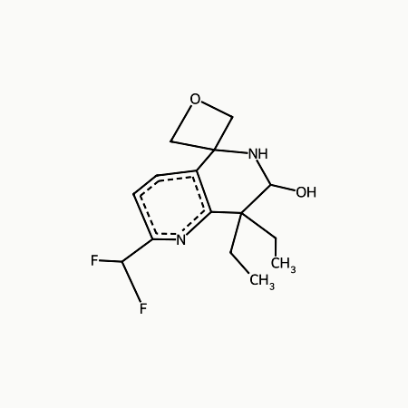 CCC1(CC)c2nc(C(F)F)ccc2C2(COC2)NC1O